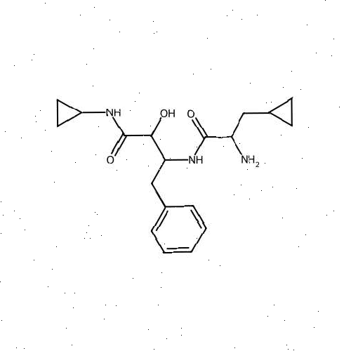 NC(CC1CC1)C(=O)NC(Cc1ccccc1)C(O)C(=O)NC1CC1